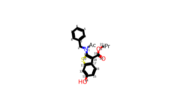 CC(=O)N(Cc1ccccc1)c1sc2cc(O)ccc2c1C(=O)OC(C)C